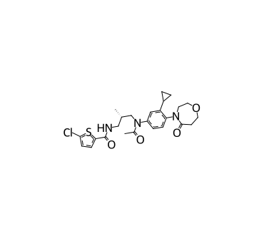 CC(=O)N(C[C@@H](C)CNC(=O)c1ccc(Cl)s1)c1ccc(N2CCOCCC2=O)c(C2CC2)c1